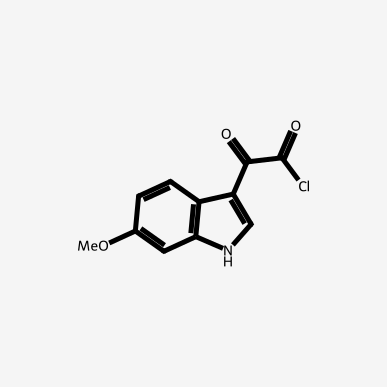 COc1ccc2c(C(=O)C(=O)Cl)c[nH]c2c1